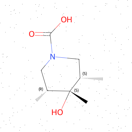 C[C@@H]1CN(C(=O)O)C[C@H](C)[C@]1(C)O